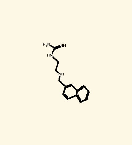 N=C(N)NCCNCc1ccc2ccccc2c1